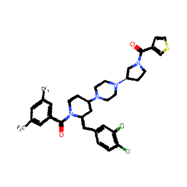 O=C(c1ccsc1)N1CC[C@@H](N2CCN(C3CCN(C(=O)c4cc(C(F)(F)F)cc(C(F)(F)F)c4)C(Cc4ccc(Cl)c(Cl)c4)C3)CC2)C1